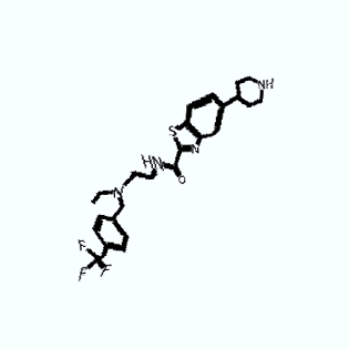 CCN(CCNC(=O)c1nc2cc(C3CCNCC3)ccc2s1)Cc1ccc(C(F)(F)F)cc1